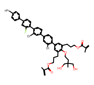 C=C(C)C(=O)OCCCc1cc(-c2ccc(-c3ccc(-c4ccc(-c5ccc(CCC)cc5)cc4F)c(CC)c3)cc2CC)cc(CCCOC(=O)C(=C)C)c1OCCC(C)(CO)CO